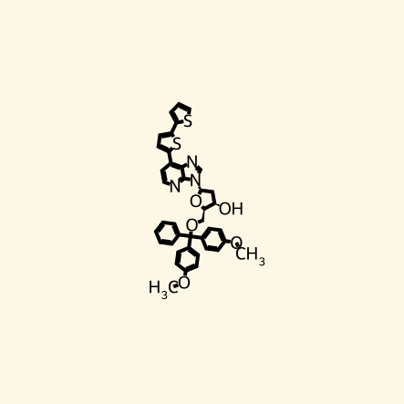 COc1ccc(C(OC[C@H]2O[C@@H](n3cnc4c(-c5ccc(-c6cccs6)s5)ccnc43)C[C@@H]2O)(c2ccccc2)c2ccc(OC)cc2)cc1